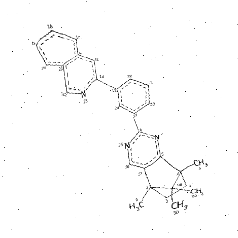 CC12CCC(C)(c3nc(-c4cccc(-c5cc6ccccc6cn5)c4)ncc31)C2(C)C